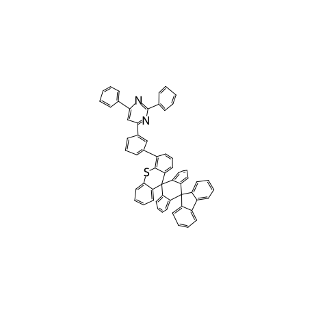 c1ccc(-c2cc(-c3cccc(-c4cccc5c4Sc4ccccc4C54c5ccccc5C5(c6ccccc6-c6ccccc65)c5ccccc54)c3)nc(-c3ccccc3)n2)cc1